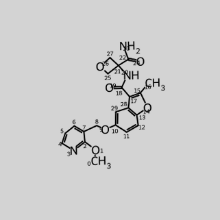 COc1ncccc1COc1ccc2oc(C)c(C(=O)NC3(C(N)=O)COC3)c2c1